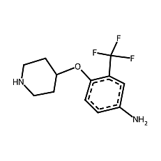 Nc1ccc(OC2CCNCC2)c(C(F)(F)F)c1